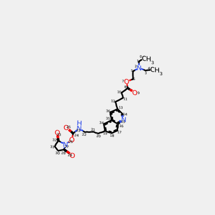 CCN(CC)CCOC(=O)CCCc1cnc2ccc(CCCNC(=O)ON3C(=O)CCC3=O)cc2c1